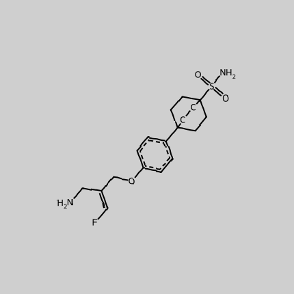 NCC(=CF)COc1ccc(C23CCC(S(N)(=O)=O)(CC2)CC3)cc1